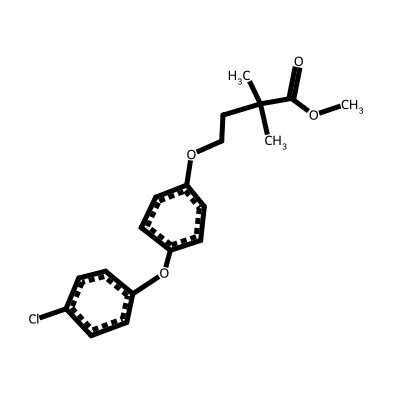 COC(=O)C(C)(C)CCOc1ccc(Oc2ccc(Cl)cc2)cc1